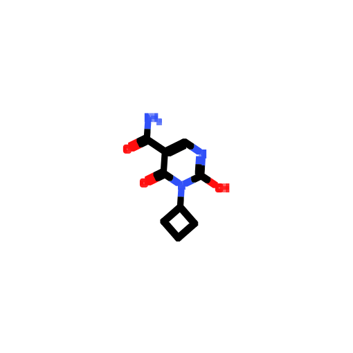 NC(=O)c1cnc(O)n(C2CCC2)c1=O